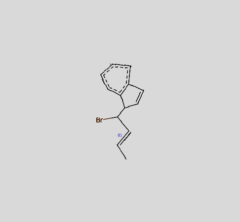 C/C=C/C(Br)C1C=Cc2c[c]ccc21